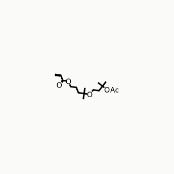 C=CC(=O)OCCCC(C)(C)OCCC(C)(C)OC(C)=O